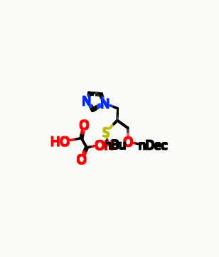 CCCCCCCCCCOCC(Cn1ccnc1)SCCCC.O=C(O)C(=O)O